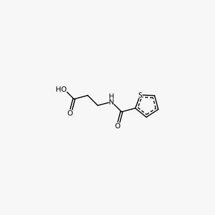 O=C(O)CCNC(=O)c1cccs1